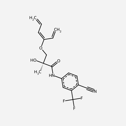 C=C/C=C(\C=C)OC[C@](C)(O)C(=O)Nc1ccc(C#N)c(C(F)(F)F)c1